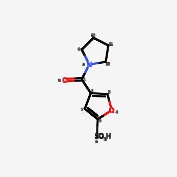 O=C(c1coc(S(=O)(=O)O)c1)N1CCCC1